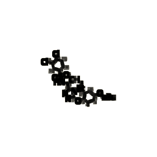 CCCCOc1ccc(Oc2nnc([C@@H](C)NS(=O)(=O)c3ccc(Cl)c(Cl)c3)n2CC)cc1